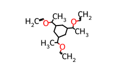 C=COC(C)C1CC(C(C)OC=C)CC(C(C)OC=C)C1